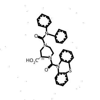 O=C(O)[C@@H]1CN(C(=O)N(c2ccccc2)c2ccccc2)CCN1C(=O)N1c2ccccc2Sc2ccccc21